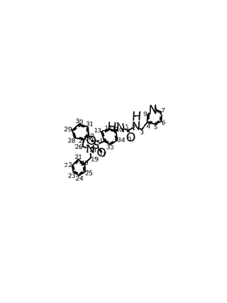 O=C(NCc1cccnc1)Nc1ccc(S(=O)(=O)N(Cc2ccccc2)Cc2ccccc2)cc1